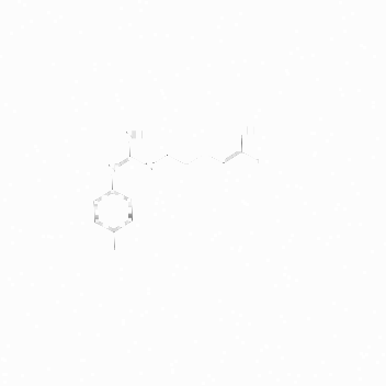 CC(=COCCNC(N)=Nc1ccc(Cl)cc1)C(=O)O